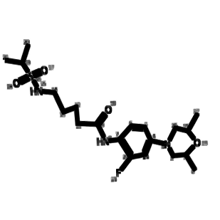 CC1CN(c2ccc(NC(=O)CCCCNS(=O)(=O)C(C)C)c(F)c2)CC(C)O1